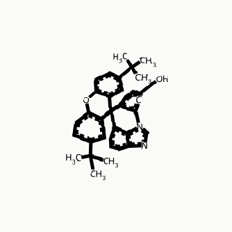 CC(C)(C)c1ccc2c(c1)C1(c3cc(C(C)(C)C)ccc3O2)c2ccc(O)cc2-n2cnc3cccc1c32